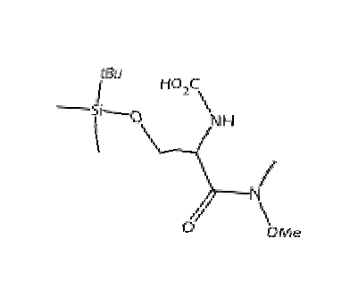 CON(C)C(=O)C(CO[Si](C)(C)C(C)(C)C)NC(=O)O